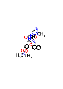 CNC(=O)N(CC#N)N1CC(=O)N2[C@@H](Cc3ccc(OC(=O)N(C)C)cc3)C(=O)N(Cc3cccc4ccccc34)C[C@@H]21